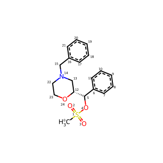 CS(=O)(=O)OC(c1ccccc1)[C@H]1CN(Cc2ccccc2)CCO1